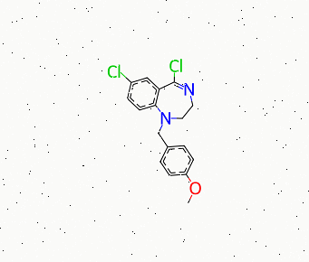 COc1ccc(CN2CCN=C(Cl)c3cc(Cl)ccc32)cc1